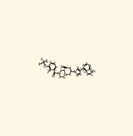 N#CCC(CN1CCN(C(=O)c2cccc(OC(F)(F)F)c2F)CC1)n1cc(-c2ncnc3[nH]ccc23)cn1